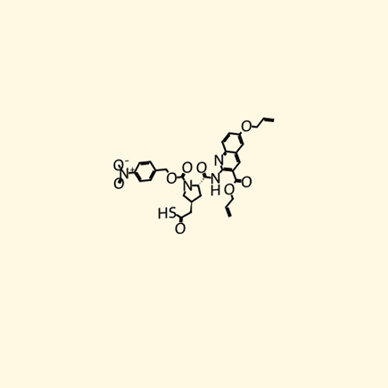 C=CCOC(=O)c1cc2cc(OCC=C)ccc2nc1NC(=O)[C@@H]1C[C@@H](CC(=O)S)CN1C(=O)OCc1ccc([N+](=O)[O-])cc1